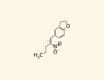 CCC/C(=C/c1ccc2c(c1)CCO2)[N+](=O)[O-]